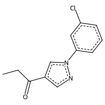 CCC(=O)c1cnn(-c2cccc(Cl)c2)c1